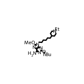 CCCCOc1nc(N)c2nc(OC)n(CCCCCCC3CCN(CC)CC3)c2n1